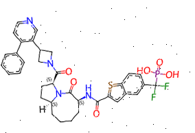 O=C(N[C@H]1CCCC[C@H]2CC[C@@H](C(=O)N3CC(c4cnccc4-c4ccccc4)C3)N2C1=O)c1cc2cc(C(F)(F)P(=O)(O)O)ccc2s1